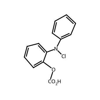 O=C(O)Oc1ccccc1N(Cl)c1ccccc1